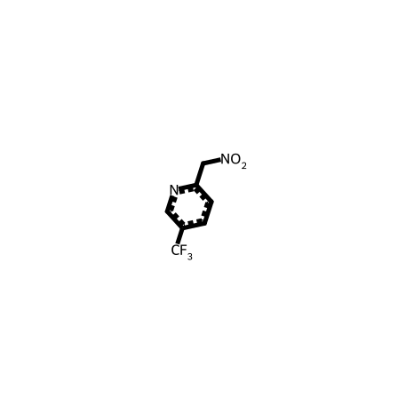 O=[N+]([O-])Cc1ccc(C(F)(F)F)cn1